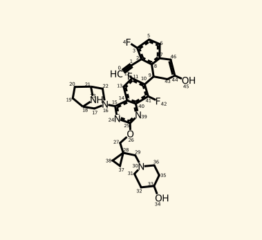 C#Cc1c(F)ccc2c1C(c1c(F)cc3c(N4CC5CCC(C4)N5)nc(OCC4(CN5CCC(O)CC5)CC4)nc3c1F)CC(O)=C2